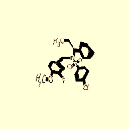 CC[C@@H](c1ccccc1)N(Cc1ccc(OC)c(F)c1)S(=O)(=O)c1ccc(Cl)cc1